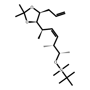 C=CC[C@@H]1OC(C)(C)O[C@@H]1[C@H](C)/C=C\[C@@H](C)[C@H](C)O[Si](C)(C)C(C)(C)C